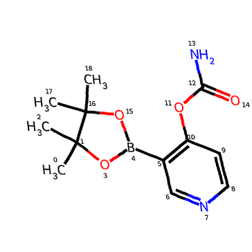 CC1(C)OB(c2cnccc2OC(N)=O)OC1(C)C